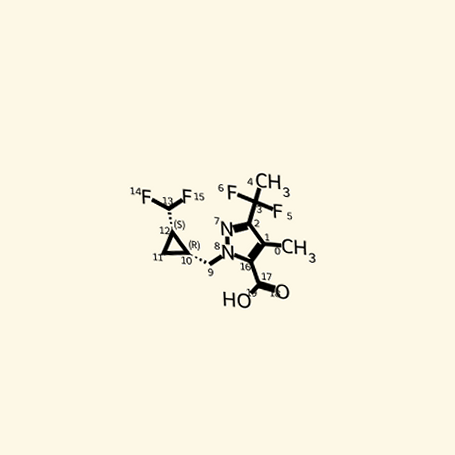 Cc1c(C(C)(F)F)nn(C[C@@H]2C[C@@H]2C(F)F)c1C(=O)O